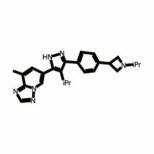 Cc1cc(-c2[nH]nc(-c3ccc(C4CN(C(C)C)C4)cc3)c2C(C)C)cn2ncnc12